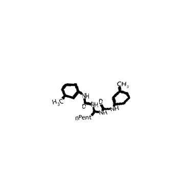 CCCCCC(NC(=O)NC1CCCC(C)C1)NC(=O)NC1CCCC(C)C1